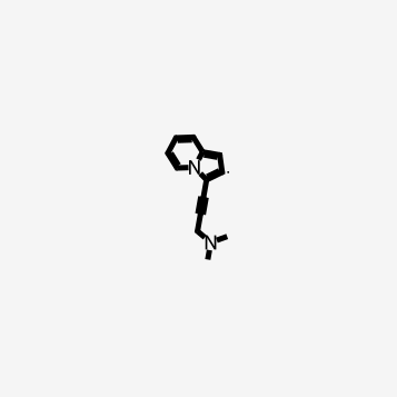 CN(C)CC#Cc1[c]cc2ccccn12